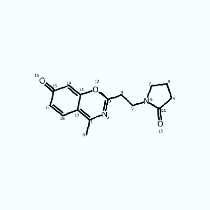 Cc1nc(CCN2CCCC2=O)oc2cc(=O)ccc1-2